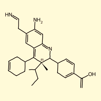 C=C(O)C1=CCC(C2N=c3cc(N)c(CC=N)cc3=C(C3CC=CCC3)[C@@]2(C)C(C)CC)C=C1